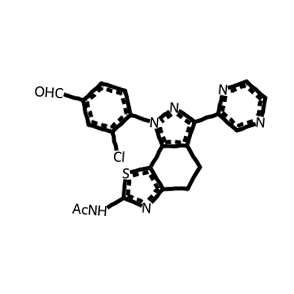 CC(=O)Nc1nc2c(s1)-c1c(c(-c3cnccn3)nn1-c1ccc(C=O)cc1Cl)CC2